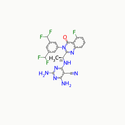 C[C@H](Nc1nc(N)nc(N)c1C#N)c1nc2cccc(F)c2c(=O)n1-c1cc(C(F)F)cc(C(F)F)c1